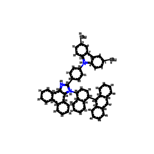 CC(C)(C)c1ccc2c(c1)c1cc(C(C)(C)C)ccc1n2-c1ccc(-c2nc3c4ccccc4c4ccccc4c3n2-c2ccc(-c3c4ccccc4cc4ccccc34)c3ccccc23)cc1